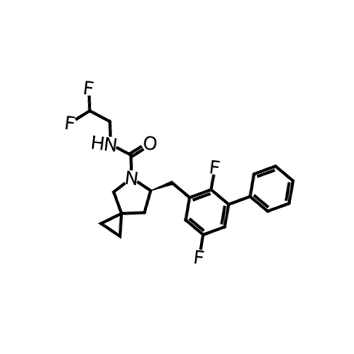 O=C(NCC(F)F)N1CC2(CC2)C[C@@H]1Cc1cc(F)cc(-c2ccccc2)c1F